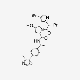 Cc1ncoc1-c1ccc(C(C)NC(=O)C2CC(O)CN2C(=O)C(C(C)C)n2cc(C(C)C)cn2)cc1